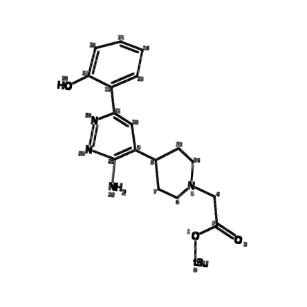 CC(C)(C)OC(=O)CN1CCC(c2cc(-c3ccccc3O)nnc2N)CC1